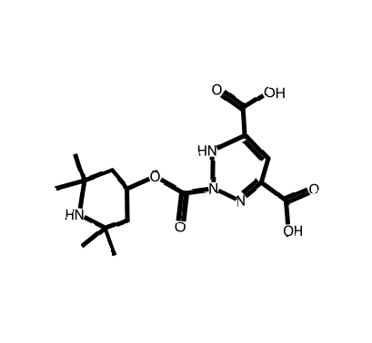 CC1(C)CC(OC(=O)N2N=C(C(=O)O)C=C(C(=O)O)N2)CC(C)(C)N1